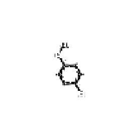 CCSc1ccc(CC)cc1